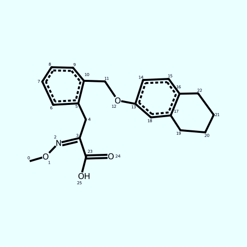 CON=C(Cc1ccccc1COc1ccc2c(c1)CCCC2)C(=O)O